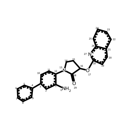 Nc1cc(-c2ccccc2)ccc1N1CCC(Oc2ccc3ccccc3n2)C1=O